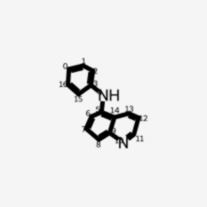 c1ccc(Nc2cccc3ncccc23)cc1